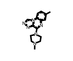 Cc1ccc2c(c1)nc(N1CCN(C)CC1)c1nncn12